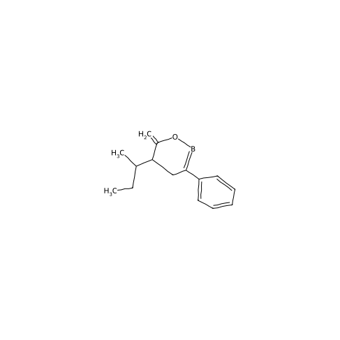 C=C1OB=C(c2ccccc2)CC1C(C)CC